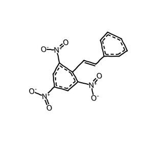 O=[N+]([O-])c1cc([N+](=O)[O-])c(C=Cc2ccccc2)c([N+](=O)[O-])c1